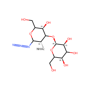 CC(=O)N[C@@H]1C(N=[N+]=[N-])OC(CO)[C@@H](O)C1O[C@@H]1OC(CO)[C@H](O)C(O)[C@@H]1O